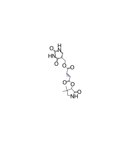 CC1(C)CNC(=O)C1OC(=O)/C=C/C(=O)OCc1c[nH]c(=O)[nH]c1=O